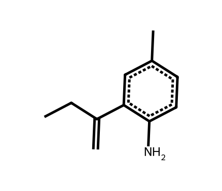 C=C(CC)c1cc(C)ccc1N